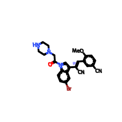 COc1ccc(C#N)cc1/C=C(\C#N)c1cn(C(=O)CN2CCNCC2)c2ccc(Br)cc12